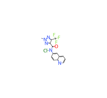 Cn1nc(C(=O)N(Cl)c2ccc3ncccc3c2)c(C(F)(F)F)n1